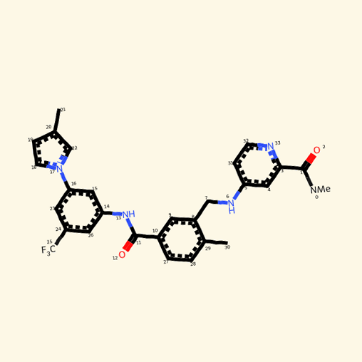 CNC(=O)c1cc(NCc2cc(C(=O)Nc3cc(-n4ccc(C)c4)cc(C(F)(F)F)c3)ccc2C)ccn1